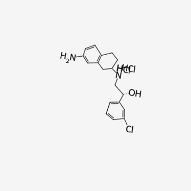 Cl.Cl.Nc1ccc2c(c1)CC(NC[C@H](O)c1cccc(Cl)c1)CC2